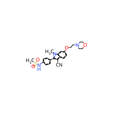 Cn1c(-c2ccc(NS(C)(=O)=O)cc2)c(C#N)c2ccc(OCCN3CCOCC3)cc21